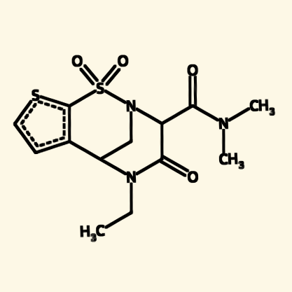 CCN1C(=O)C(C(=O)N(C)C)N2CC1c1ccsc1S2(=O)=O